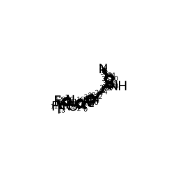 Cc1cc(Oc2nccc(C(F)(F)F)n2)ccc1N1CCN(CCCCc2c[nH]c3ccc(C#N)cc23)CC1